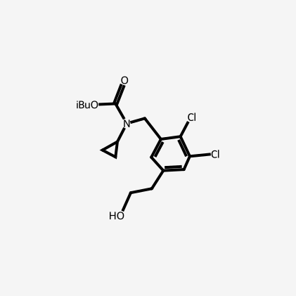 CC(C)COC(=O)N(Cc1cc(CCO)cc(Cl)c1Cl)C1CC1